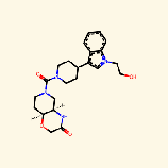 O=C1CO[C@H]2CCN(C(=O)N3CCC(c4cn(CCO)c5ccccc45)CC3)C[C@H]2N1